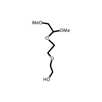 COCC(OC)OCCOCCO